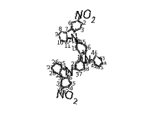 O=[N+]([O-])c1ccc2c(c1)c1ccccc1n2-c1ccc2c(c1)c1cc(-n3c4ccccc4c4cc([N+](=O)[O-])ccc43)ccc1n2-c1ccccc1